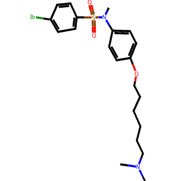 CN(C)CCCCCCOc1ccc(N(C)S(=O)(=O)c2ccc(Br)cc2)cc1